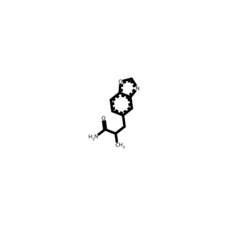 CC(Cc1ccc2ocnc2c1)C(N)=O